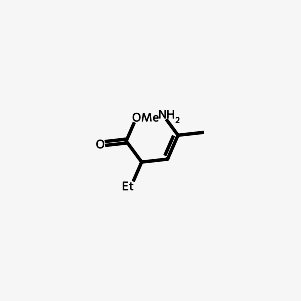 CCC(C=C(C)N)C(=O)OC